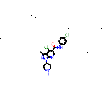 Cc1nn(C2CCNCC2)c2ncc(C(=O)Nc3ccc(Cl)cc3)c(Cl)c12